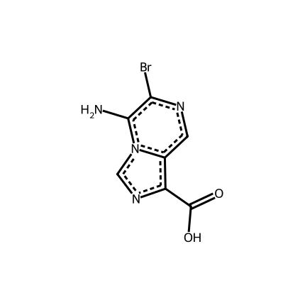 Nc1c(Br)ncc2c(C(=O)O)ncn12